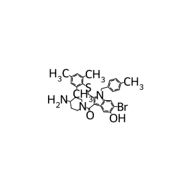 Cc1ccc(Cn2c(CSc3c(C)cc(C)cc3C)c(C(=O)N3CCC(N)CC3)c3cc(O)c(Br)cc32)cc1